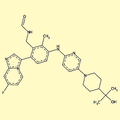 Cc1c(Nc2ccc(N3CCC(C(C)(C)O)CC3)cn2)ccc(-c2cnc3cc(F)ccn23)c1CNC=O